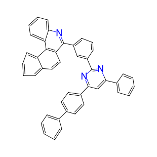 c1ccc(-c2ccc(-c3cc(-c4ccccc4)nc(-c4cccc(-c5nc6ccccc6c6c5ccc5ccccc56)c4)n3)cc2)cc1